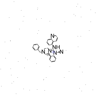 N#C/N=C(\Nc1cccc2ncccc12)N1CCN(Cc2ccccc2)C[C@@H]1c1ccccc1